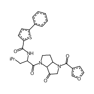 CC(C)CC(NC(=O)c1ccc(-c2ccccc2)s1)C(=O)N1CCC2C1C(=O)CN2C(=O)c1ccoc1